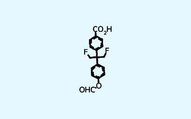 O=COc1ccc(C(CF)(CF)c2ccc(C(=O)O)cc2)cc1